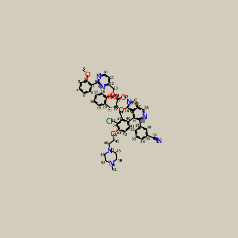 COc1ccccc1-c1nccc(COc2ccccc2C[C@@H](Oc2nsc3cnc(-c4cccc(C#N)c4)c(-c4ccc(OCCN5CCN(C)CC5)c(Cl)c4C)c23)C(=O)O)n1